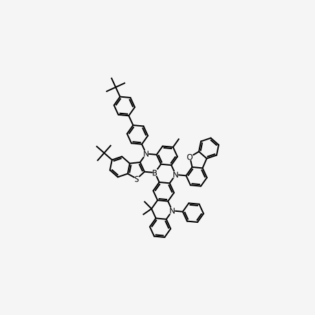 Cc1cc2c3c(c1)N(c1cccc4c1oc1ccccc14)c1cc4c(cc1B3c1sc3ccc(C(C)(C)C)cc3c1N2c1ccc(-c2ccc(C(C)(C)C)cc2)cc1)C(C)(C)c1ccccc1N4c1ccccc1